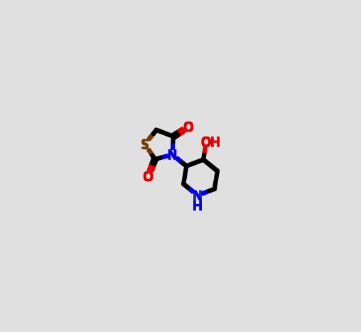 O=C1CSC(=O)N1C1CNCCC1O